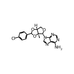 C[C@@]12OC(c3ccc(Cl)cc3)O[C@@H]1CO[C@H]2n1cnc2c(N)ncnc21